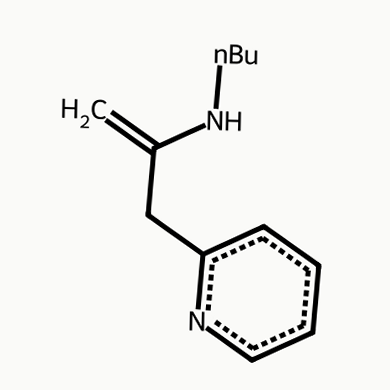 C=C(Cc1ccccn1)NCCCC